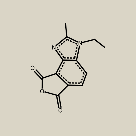 CCn1c(C)nc2c3c(ccc21)C(=O)OC3=O